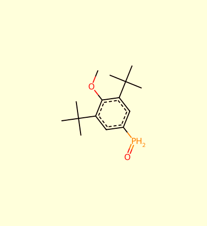 COc1c(C(C)(C)C)cc([PH2]=O)cc1C(C)(C)C